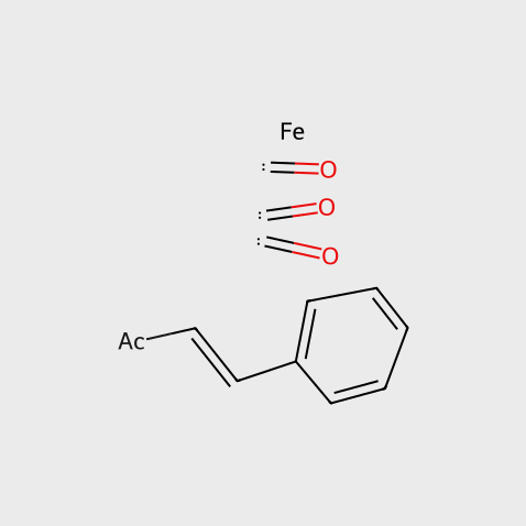 CC(=O)C=Cc1ccccc1.[C]=O.[C]=O.[C]=O.[Fe]